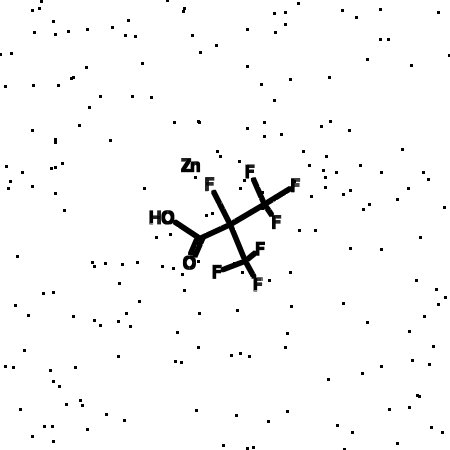 O=C(O)C(F)(C(F)(F)F)C(F)(F)F.[Zn]